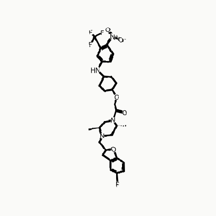 C[C@@H]1CN(CC2Cc3cc(F)ccc3O2)[C@@H](C)CN1C(=O)COC1CCC(Nc2ccc([N+](=O)[O-])c(C(F)(F)F)c2)CC1